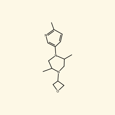 Cc1ccc(N2CC(C)N(C3COC3)CC2C)cn1